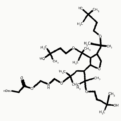 CCCCCCCCCCCC(=O)OCNCOC(C)(C)CC(C1OCC(C(C)(C)OCCC(C)(C)O)C1C(C)(C)OCCC(C)(C)O)C(C)(C)OCCC(C)(C)O